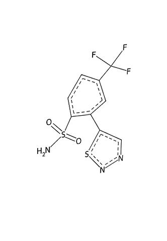 NS(=O)(=O)c1ccc(C(F)(F)F)cc1-c1cnns1